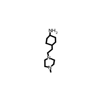 CN1CCN(CCC2CCC(N)CC2)CC1